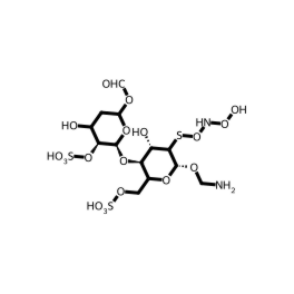 NCO[C@@H]1OC(COS(=O)(=O)O)[C@@H](O[C@@H]2OC(OC=O)CC(O)[C@@H]2OS(=O)(=O)O)[C@H](O)C1SONOO